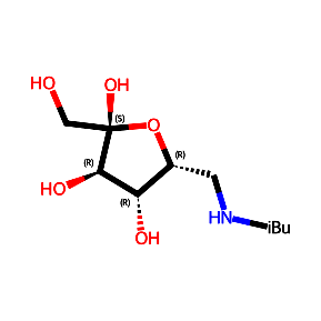 CCC(C)NC[C@H]1O[C@@](O)(CO)[C@H](O)[C@H]1O